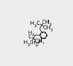 CC(C)(C)Cc1cccc(P)c1CC(C)(C)C